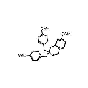 COc1ccc(CC2(Cc3ccc(OC)cc3)C=Cc3ccc(OC)cc3C2)cc1